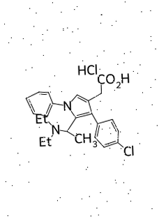 CCN(CC)C(C)c1c(-c2ccc(Cl)cc2)c(CC(=O)O)cn1-c1ccccc1.Cl